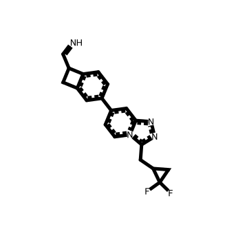 N=CC1Cc2cc(-c3ccn4c(CC5CC5(F)F)nnc4c3)ccc21